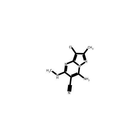 CNc1nc2c(Cl)c(C)nn2c(N)c1C#N